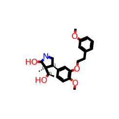 COc1cccc(CCOc2cc([C@@H]3C[N]C(O)[C@]3(C)[C@@H](C)O)ccc2OC)c1